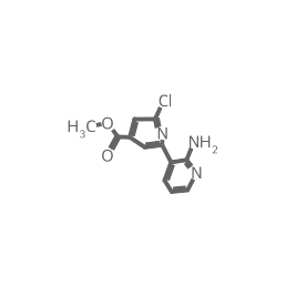 COC(=O)c1cc(Cl)nc(-c2cccnc2N)c1